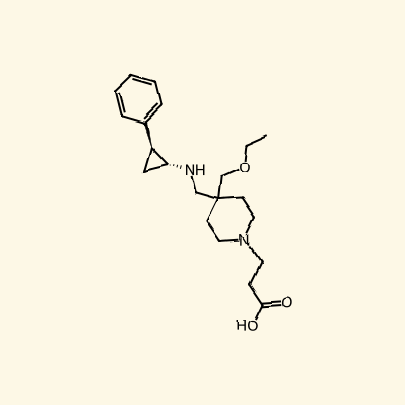 CCOCC1(CN[C@@H]2C[C@H]2c2ccccc2)CCN(CCC(=O)O)CC1